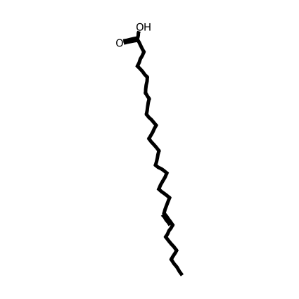 CCCCC=CCCCCCCCCCCCCCC(=O)O